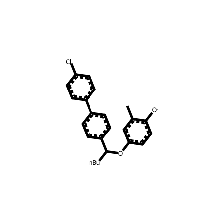 CCCCC(Oc1ccc([O])c(C)c1)c1ccc(-c2ccc(Cl)cc2)cc1